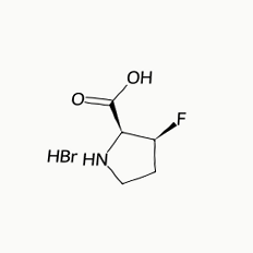 Br.O=C(O)[C@@H]1NCC[C@@H]1F